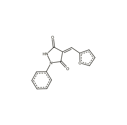 O=C1NN(c2ccccc2)C(=O)/C1=C\c1ccco1